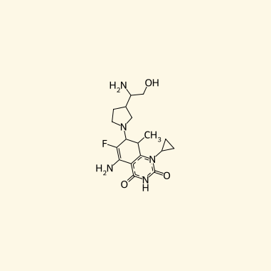 CC1c2c(c(=O)[nH]c(=O)n2C2CC2)C(N)=C(F)C1N1CCC(C(N)CO)C1